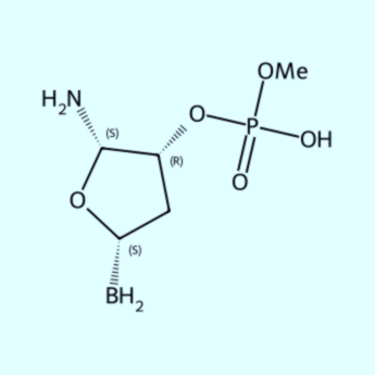 B[C@H]1C[C@@H](OP(=O)(O)OC)[C@@H](N)O1